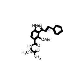 COc1c(C(=O)N[C@@H](C)C(N)=O)ccc2[nH]nc(/C=C/c3ccccc3)c12